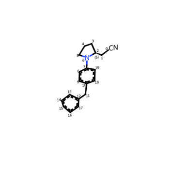 N#CC[C@@H]1CCCN1c1ccc(Cc2ccccc2)cc1